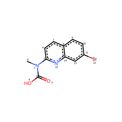 CN(C(=O)O)c1ccc2ccc(Br)cc2n1